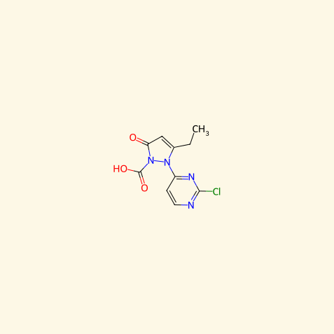 CCc1cc(=O)n(C(=O)O)n1-c1ccnc(Cl)n1